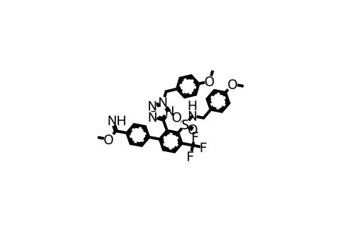 COC(=N)c1ccc(-c2ccc(C(F)(F)F)c(S(=O)(=O)NCc3ccc(OC)cc3)c2-c2nnn(Cc3ccc(OC)cc3)n2)cc1